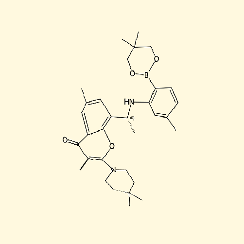 Cc1ccc(B2OCC(C)(C)CO2)c(N[C@H](C)c2cc(C)cc3c(=O)c(C)c(N4CCC(C)(C)CC4)oc23)c1